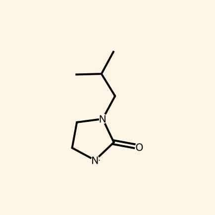 CC(C)CN1CC[N]C1=O